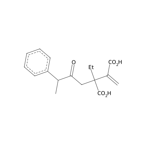 C=C(C(=O)O)C(CC)(CC(=O)C(C)c1ccccc1)C(=O)O